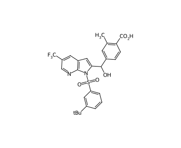 Cc1cc(C(O)c2cc3cc(C(F)(F)F)cnc3n2S(=O)(=O)c2cccc(C(C)(C)C)c2)ccc1C(=O)O